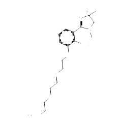 COCCOCCOCCOc1cccc(C2=N[C@@](C)(C(=O)O)CN2C)c1O